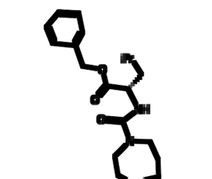 CC(C)C[C@H](NC(=O)N1CCCCCC1)C(=O)OCc1ccccc1